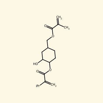 C=C(C)C(=O)OCC1CCC(OC(=O)C(=C)C(C)C)C(O)C1